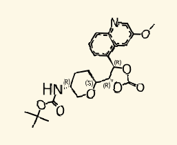 COc1cnc2cccc([C@H]3OC(=O)O[C@@H]3[C@@H]3CC[C@@H](NC(=O)OC(C)(C)C)CO3)c2c1